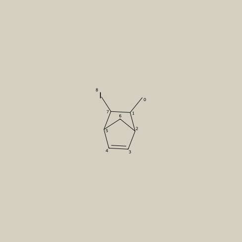 CC1C2C=CC(C2)C1I